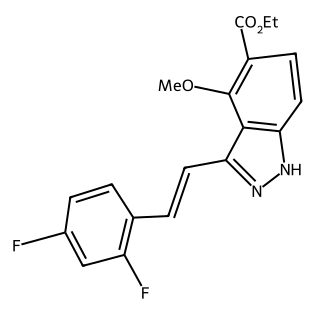 CCOC(=O)c1ccc2[nH]nc(/C=C/c3ccc(F)cc3F)c2c1OC